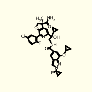 C[C@]1(C(N)=O)COc2c1cc([C@@](O)(CNC(=O)c1cc(OC3CC3)c3nn(C4(F)CC4)cc3c1)C1CC1)nc2-c1cc(Cl)ccc1F